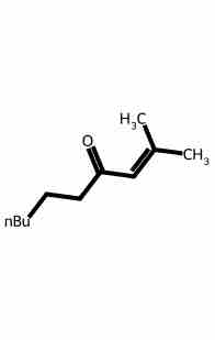 CCCCCCC(=O)C=C(C)C